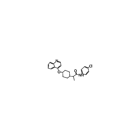 CC(C(=O)Nc1ccc(Cl)cc1)C1CCC(Oc2ccnc3ccccc23)CC1